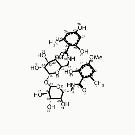 COc1cc(C)c(C(=O)NC[C@H]2O[C@H](O[C@H]3O[C@H](CNC(=O)c4c(C)cc(O)cc4O)[C@@H](O)[C@H](O)[C@H]3O)[C@H](O)[C@@H](O)[C@@H]2O)c(O)c1